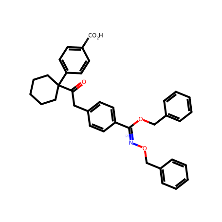 O=C(O)c1ccc(C2(C(=O)Cc3ccc(/C(=N/OCc4ccccc4)OCc4ccccc4)cc3)CCCCC2)cc1